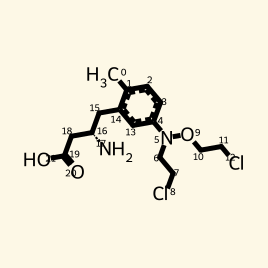 Cc1ccc(N(CCCl)OCCCl)cc1C[C@H](N)CC(=O)O